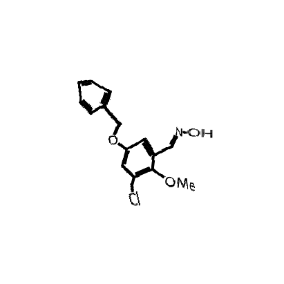 COc1c(Cl)cc(OCc2ccccc2)cc1C=NO